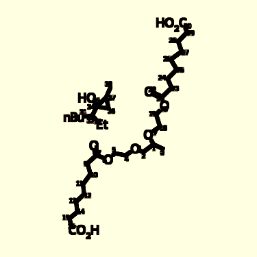 CC(COCCOC(=O)CCCCCCCC(=O)O)OCCOC(=O)CCCCCCCC(=O)O.CCCCC(CC)C1(O)CC1C